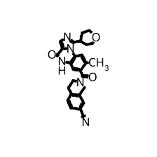 Cc1cc2c(cc1C(=O)N1CCc3ccc(C#N)cc3C1)[nH]c(=O)c1cnc(C3CCOCC3)n12